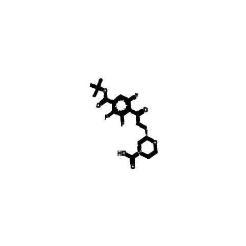 CC(C)(C)OC(=O)c1cc(F)c(C(=O)CC[C@H]2CN(C(=O)O)CCO2)c(F)c1F